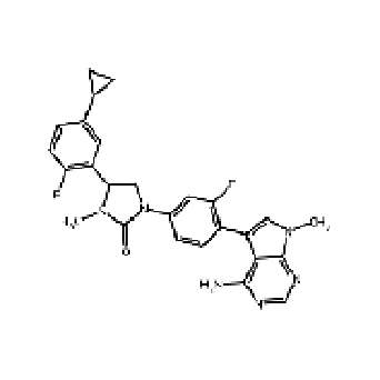 CN1C(=O)N(c2ccc(-c3cn(C)c4ncnc(N)c34)c(F)c2)CC1c1cc(C2CC2)ccc1F